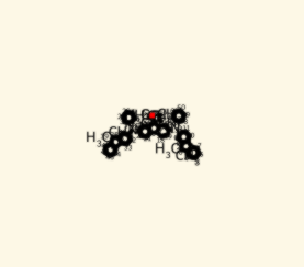 CC1(C)c2ccccc2-c2ccc(N(C3=CC4C(C=C3)c3ccc(N(c5ccccc5)c5ccc6c(c5)C(C)(C)c5ccccc5-6)cc3C4([Si](C)(C)C)[Si](C)(C)C)c3ccccc3)cc21